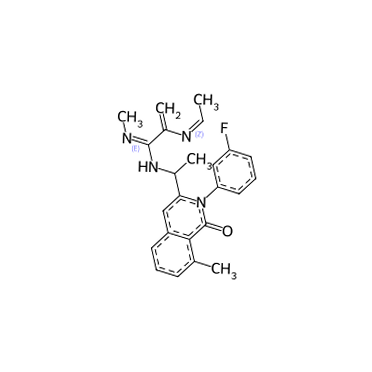 C=C(/N=C\C)/C(=N\C)NC(C)c1cc2cccc(C)c2c(=O)n1-c1cccc(F)c1